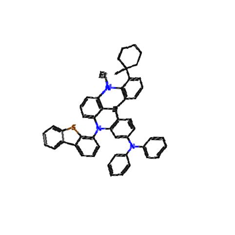 CCN1c2cccc3c2B(c2ccc(N(c4ccccc4)c4ccccc4)cc2N3c2cccc3c2sc2ccccc23)c2cccc(C3(C)CCCCC3)c21